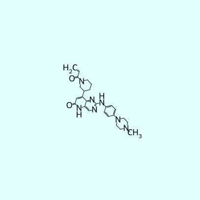 C=CC(=O)N1CCCC(c2cc(=O)[nH]c3cnc(Nc4ccc(N5CCN(C)CC5)cc4)nc23)C1